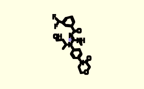 CN/C(=N\C(=O)c1cccc(C(F)F)c1)N(c1ccc(N2CCOCC2=O)cc1)C(C)CCO